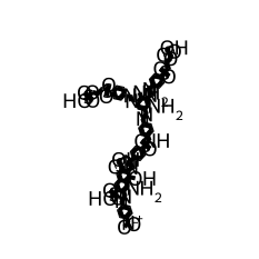 Nc1c(/N=N/c2ccc(NS(=O)(=O)c3ccc(/N=N/c4c(S(=O)(=O)O)cc5cc(S(=O)(=O)O)c(/N=N/c6ccc([N+](=O)[O-])cc6)c(N)c5c4O)cc3)cc2)cc(/N=N/c2ccc(S(=O)(=O)CCOS(=O)(=O)O)cc2)c(N)c1/N=N/c1ccc(S(=O)(=O)CCOS(=O)(=O)O)cc1